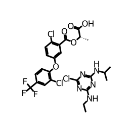 CCNc1nc(Cl)nc(NC(C)C)n1.C[C@H](OC(=O)c1cc(Oc2ccc(C(F)(F)F)cc2Cl)ccc1Cl)C(=O)O